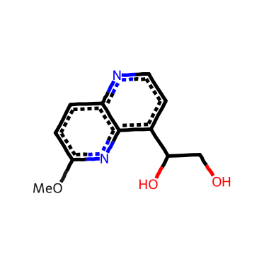 COc1ccc2nccc(C(O)CO)c2n1